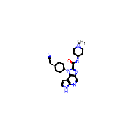 CN1CCC(NC(=O)c2nc3cnc4[nH]ccc4c3n2[C@H]2CC[C@H](CC#N)CC2)CC1